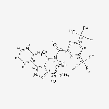 CC(c1c(S(C)(=O)=O)cnn1-c1cnccn1)N(C)C(=O)c1cc(C(F)(F)F)cc(C(F)(F)F)c1